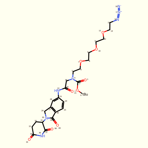 CC(C)(C)OC(=O)N(CCOCCOCCOCCN=[N+]=[N-])CC(=O)Nc1ccc2c(c1)CN(C1CCC(=O)NC1=O)C2=O